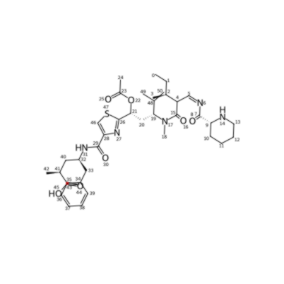 CC[C@H](C)C(/C=N\C(=O)[C@H]1CCCCN1)C(=O)N(C)[C@H](C[C@@H](OC(C)=O)c1nc(C(=O)N[C@@H](Cc2ccccc2)C[C@H](C)C(=O)O)cs1)C(C)C